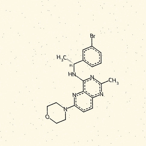 Cc1nc(N[C@H](C)c2cccc(Br)c2)c2nc(N3CCOCC3)ccc2n1